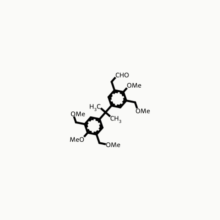 COCc1cc(C(C)(C)c2cc(COC)c(OC)c(COC)c2)cc(CC=O)c1OC